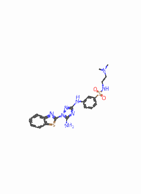 CN(C)CCNS(=O)(=O)c1cccc(Nc2nc(N)n(-c3nc4ccccc4s3)n2)c1